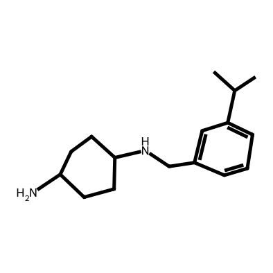 CC(C)c1cccc(CNC2CCC(N)CC2)c1